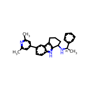 Cc1cc(-c2ccc3[nH]c4c(c3c2)CCCC4N[C@H](C)c2ccccc2)cc(C)n1